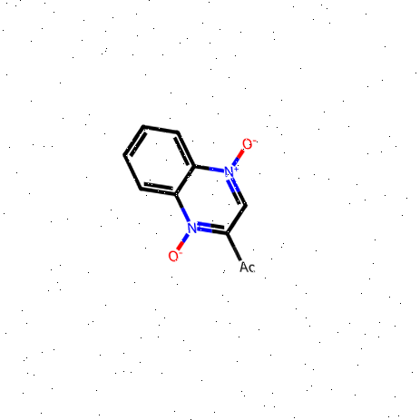 CC(=O)c1c[n+]([O-])c2ccccc2[n+]1[O-]